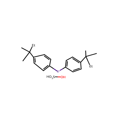 CCC(C)(C)c1ccc([I+]c2ccc(C(C)(C)CC)cc2)cc1.O=S(=O)(O)O